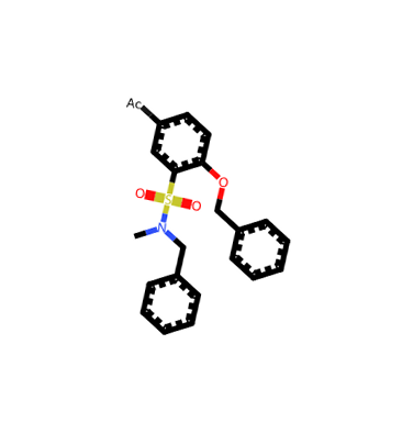 CC(=O)c1ccc(OCc2ccccc2)c(S(=O)(=O)N(C)Cc2ccccc2)c1